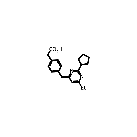 CCc1cc(Cc2ccc(CC(=O)O)cc2)nc(C2CCCC2)n1